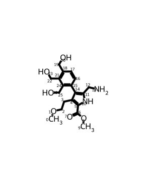 COCCc1c(C(=O)OC)[nH]c(CN)c1-c1ccc(CO)c(CO)c1CO